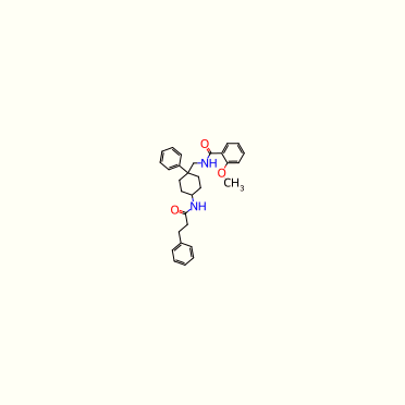 COc1ccccc1C(=O)NCC1(c2ccccc2)CCC(NC(=O)CCc2ccccc2)CC1